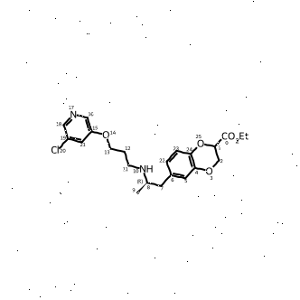 CCOC(=O)C1COc2cc(C[C@@H](C)NCCCOc3cncc(Cl)c3)ccc2O1